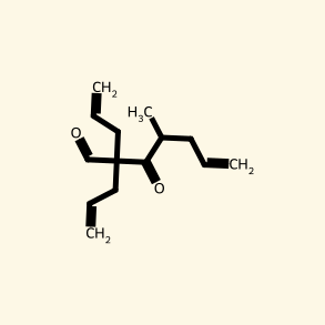 C=CCC(C)C(=O)C(C=O)(CC=C)CC=C